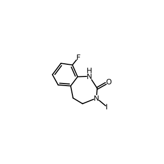 O=C1Nc2c(F)cccc2CCN1I